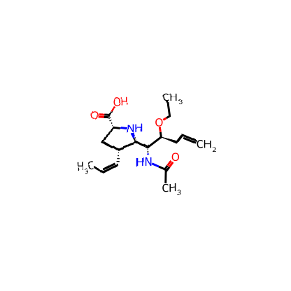 C=CC[C@H](OCC)[C@H](NC(C)=O)[C@@H]1N[C@@H](C(=O)O)C[C@H]1/C=C\C